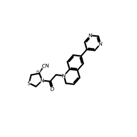 N#C[C@@H]1CSCN1C(=O)CN1CC=Cc2cc(-c3cncnc3)ccc21